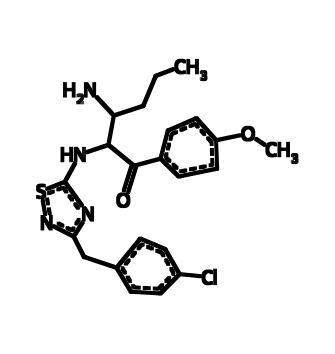 CCCC(N)C(Nc1nc(Cc2ccc(Cl)cc2)ns1)C(=O)c1ccc(OC)cc1